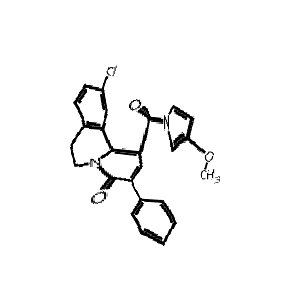 COc1ccn(C(=O)c2cc(-c3ccccc3)c(=O)n3c2-c2cc(Cl)ccc2CC3)c1